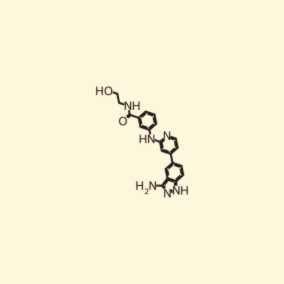 Nc1n[nH]c2ccc(-c3ccnc(Nc4cccc(C(=O)NCCO)c4)c3)cc12